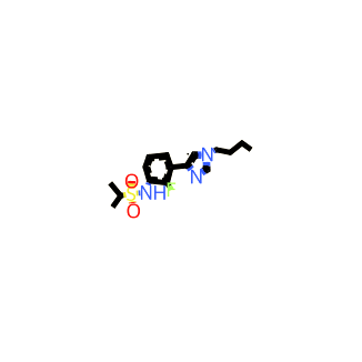 CCCCn1[c]c(-c2cccc(NS(=O)(=O)C(C)C)c2F)nc1